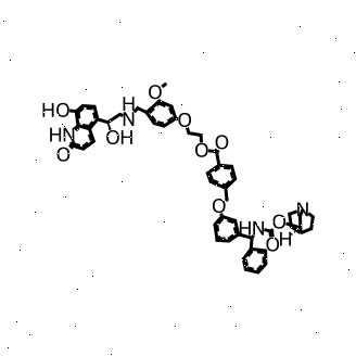 COc1cc(OCCOC(=O)c2ccc(COc3cccc(C(NC(=O)O[C@H]4CN5CCC4CC5)c4ccccc4)c3)cc2)ccc1CNC[C@@H](O)c1ccc(O)c2[nH]c(=O)ccc12